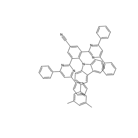 Cc1cc(C)cc(-c2ccc3c(c2)c2ccccc2n3-c2c(-c3nc(-c4ccccc4)cc(-c4ccccc4)n3)cc(C#N)cc2-c2nc(-c3ccccc3)cc(-c3ccccc3)n2)c1